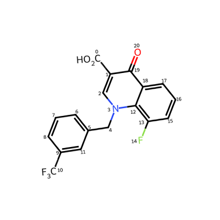 O=C(O)c1cn(Cc2cccc(C(F)(F)F)c2)c2c(F)cccc2c1=O